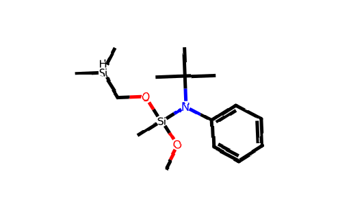 CO[Si](C)(OC[SiH](C)C)N(c1ccccc1)C(C)(C)C